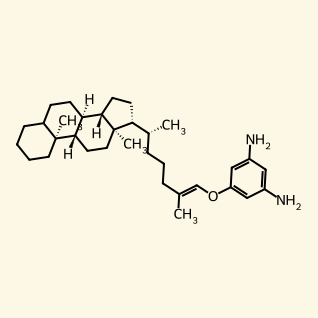 CC(=COc1cc(N)cc(N)c1)CCC[C@@H](C)[C@H]1CC[C@H]2[C@@H]3CCC4CCCC[C@]4(C)[C@H]3CC[C@]12C